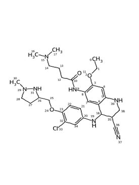 CCOc1cc2c(cc1NC(=O)CCCN(C)C)C(Nc1ccc(OCC3CCN(C)N3)c(Cl)c1)C(C#N)CN2